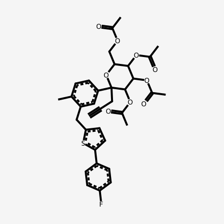 C#CCC1(c2ccc(C)c(Cc3ccc(-c4ccc(F)cc4)s3)c2)OC(COC(C)=O)C(OC(C)=O)C(OC(C)=O)C1OC(C)=O